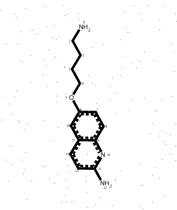 NCCCCOc1ccc2nc(N)ccc2c1